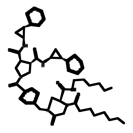 CCCCCCCC(=O)N1CC(=O)N(Cc2ccc(C(=O)N3C[C@@H](C(=O)N[C@H]4C[C@@H]4c4ccccc4)[C@H](C(=O)N[C@H]4C[C@@H]4c4ccccc4)C3)cc2)C[C@H]1C(=O)NCCCCCC